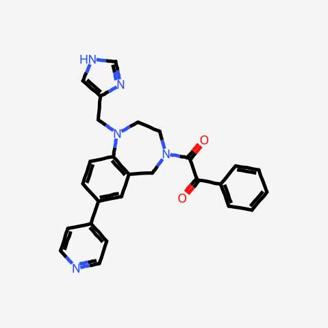 O=C(C(=O)N1CCN(Cc2c[nH]cn2)c2ccc(-c3ccncc3)cc2C1)c1ccccc1